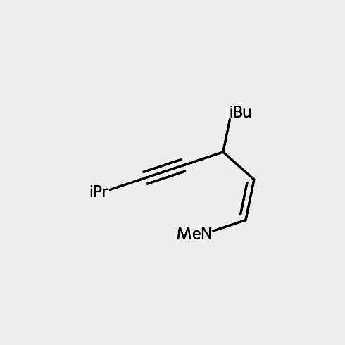 CCC(C)C(C#CC(C)C)/C=C\NC